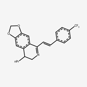 CCCC1CN=C(C=Cc2ccc(C(F)(F)F)cc2)c2cc3c(cc21)OCO3